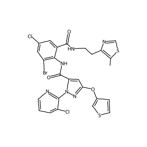 Cc1scnc1CCNC(=O)c1cc(Cl)cc(Br)c1NC(=O)c1cc(Oc2ccsc2)nn1-c1ncccc1Cl